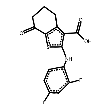 O=C1CCCc2c1sc(Nc1ccc(I)cc1F)c2C(=O)O